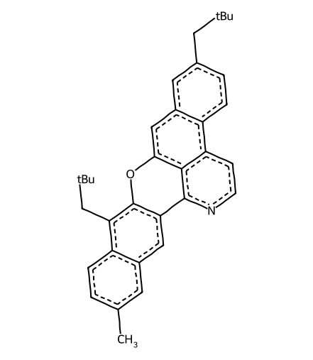 Cc1ccc2c(CC(C)(C)C)c3c(cc2c1)-c1nccc2c1c(cc1cc(CC(C)(C)C)ccc12)O3